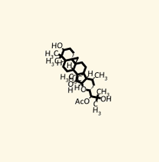 CC(=O)O[C@H]([C@H]1C[C@@H](C)[C@H]2[C@@H](O1)[C@H](O)[C@@]1(C)[C@@H]3CC[C@H]4C(C)(C)[C@@H](O)CC[C@@]45C[C@@]35CC[C@]21C)C(C)(C)O